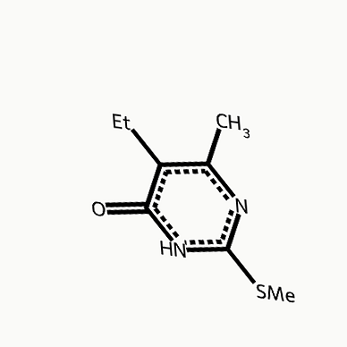 CCc1c(C)nc(SC)[nH]c1=O